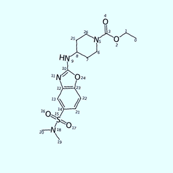 CCOC(=O)N1CCC(Nc2nc3cc(S(=O)(=O)N(C)C)ccc3o2)CC1